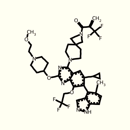 C=C(C(=O)N1CC2(CCN(c3nc(OC4CCN(CCOC)CC4)nc4c(OCC(F)(F)F)c(-c5c(C)ccc6[nH]ncc56)c(C5CC5)cc34)CC2)C1)C(F)(F)F